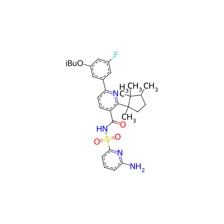 CC(C)COc1cc(F)cc(-c2ccc(C(=O)NS(=O)(=O)c3cccc(N)n3)c(C3(C)CCC(C)C3(C)C)n2)c1